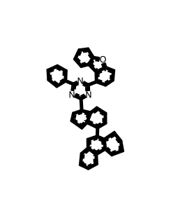 c1ccc(-c2nc(-c3cccc4c(-c5cc6ccccc6c6ccccc56)cccc34)nc(-c3cccc4oc5ccccc5c34)n2)cc1